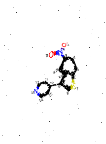 O=[N+]([O-])c1ccc2scc(-c3ccncc3)c2c1